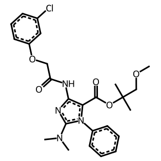 COCC(C)(C)OC(=O)c1c(NC(=O)COc2cccc(Cl)c2)nc(N(C)C)n1-c1ccccc1